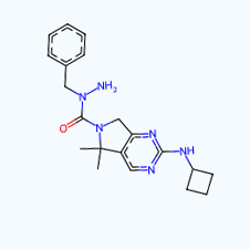 CC1(C)c2cnc(NC3CCC3)nc2CN1C(=O)N(N)Cc1ccccc1